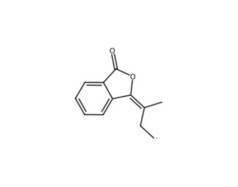 [CH2]C/C(C)=C1/OC(=O)c2ccccc21